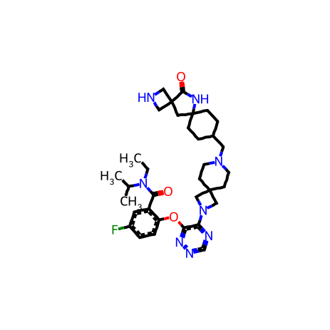 CCN(C(=O)c1cc(F)ccc1Oc1nncnc1N1CC2(CCN(CC3CCC4(CC3)CC3(CNC3)C(=O)N4)CC2)C1)C(C)C